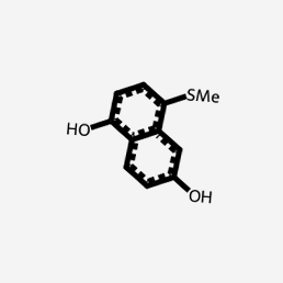 CSc1ccc(O)c2ccc(O)cc12